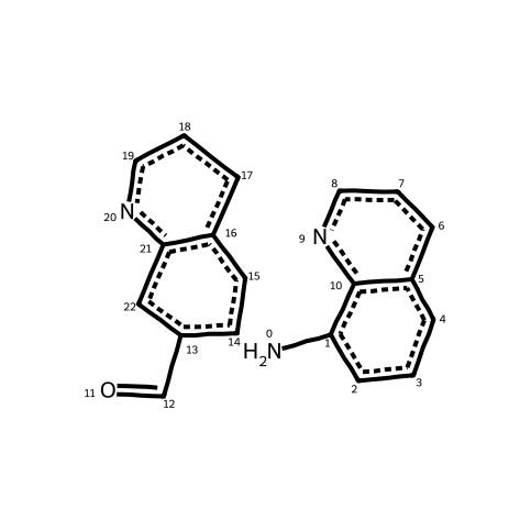 Nc1cccc2cccnc12.O=Cc1ccc2cccnc2c1